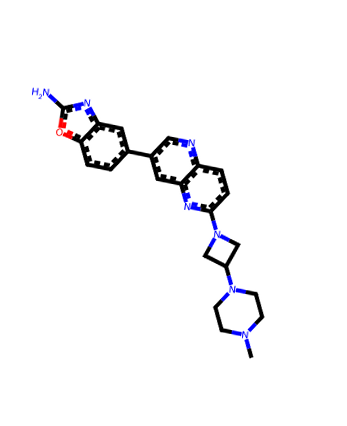 CN1CCN(C2CN(c3ccc4ncc(-c5ccc6oc(N)nc6c5)cc4n3)C2)CC1